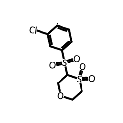 O=S1(=O)CCOCC1S(=O)(=O)c1cc[c]c(Cl)c1